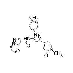 Cc1ccc(-n2nc(C3=CC(=O)N(C)CC3)cc2NC(=O)c2cnn3cccnc23)cc1